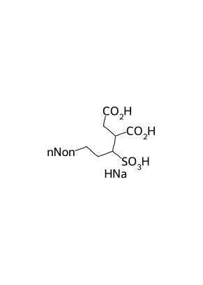 CCCCCCCCCCCC(C(CC(=O)O)C(=O)O)S(=O)(=O)O.[NaH]